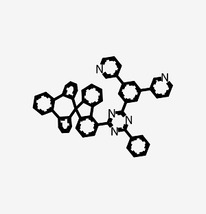 c1ccc(-c2nc(-c3cc(-c4cccnc4)cc(-c4cccnc4)c3)nc(-c3cccc4c3-c3ccccc3C43c4ccccc4-c4ccccc4-c4ccccc43)n2)cc1